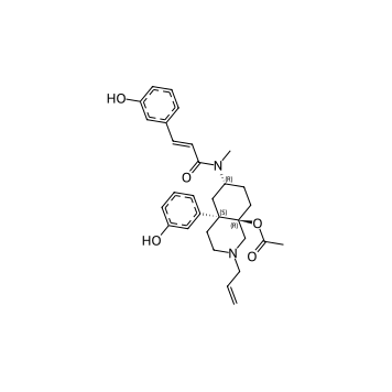 C=CCN1CC[C@@]2(c3cccc(O)c3)C[C@H](N(C)C(=O)C=Cc3cccc(O)c3)CC[C@]2(OC(C)=O)C1